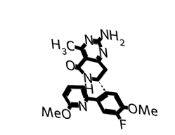 COc1cccc(-c2cc(F)c(OC)cc2[C@H]2Cc3nc(N)nc(C)c3C(=O)N2)n1